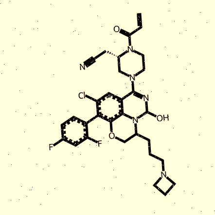 C=CC(=O)N1CCN(C2=NC(O)N3c4c2cc(Cl)c(-c2ccc(F)cc2F)c4OCC3CCCN2CCC2)C[C@@H]1CC#N